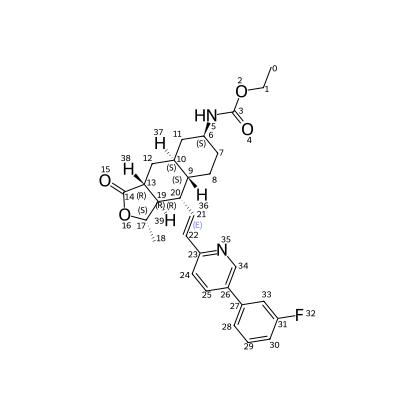 CCOC(=O)N[C@H]1CC[C@H]2[C@H](C1)C[C@H]1C(=O)O[C@@H](C)[C@@H]1[C@H]2/C=C/c1ccc(-c2cccc(F)c2)cn1